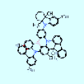 Cc1cc2c3c4c1C1(C)c5ccccc5-c5cccc(c51)N4c1cc(N4c5ccc(C(C)(C)C)cc5C5(C)CCCCC45C)ccc1B3c1ccc(C(C)(C)C)cc1N2c1ccc(C(C)(C)C)cc1-c1ccccc1